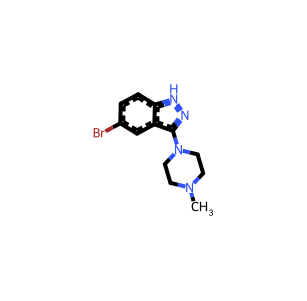 CN1CCN(c2n[nH]c3ccc(Br)cc23)CC1